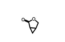 O=C1OCC2CC12